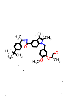 COc1ccc(Cn2c(C)c(C)c3cc(C(=O)N[C@@H](C)c4ccc(C(C)(C)C)cc4)ccc32)cc1O[C@@H](C)C=O